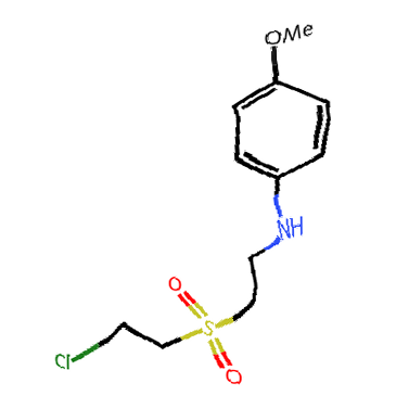 COc1ccc(NCCS(=O)(=O)CCCl)cc1